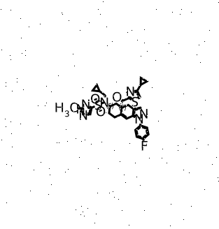 Cn1ncc(S(=O)(=O)N(CC2CC2)[C@H]2CCC3=Cc4c(cnn4-c4ccc(F)cc4)C[C@]3(C(=O)c3nc(C4CC4)cs3)C2)n1